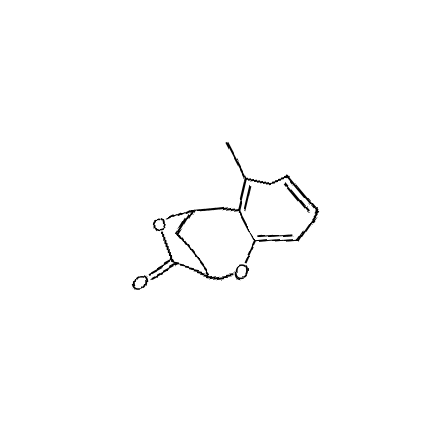 Cc1cccc2c1C1CC(O2)C(=O)O1